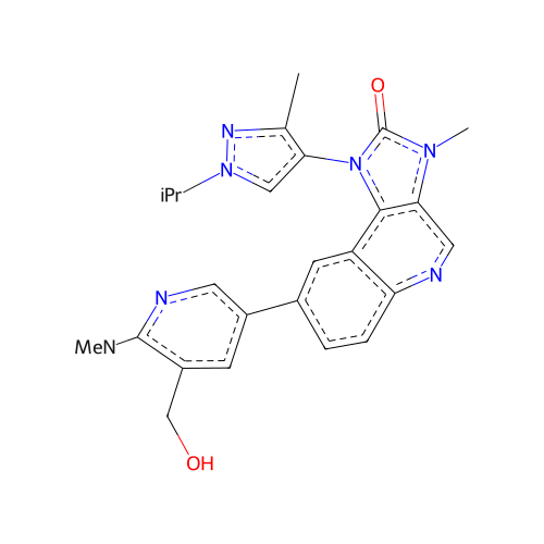 CNc1ncc(-c2ccc3ncc4c(c3c2)n(-c2cn(C(C)C)nc2C)c(=O)n4C)cc1CO